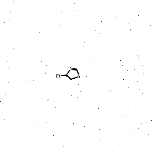 CC[C]1CSC=N1